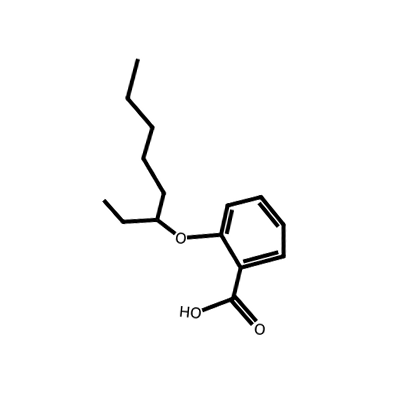 CCCCCC(CC)Oc1ccccc1C(=O)O